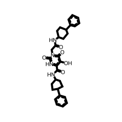 O=C(Cn1c(=O)[nH]c(C(=O)NC2CCC(c3ccccc3)CC2)c(O)c1=O)NC1CCC(c2ccccc2)CC1